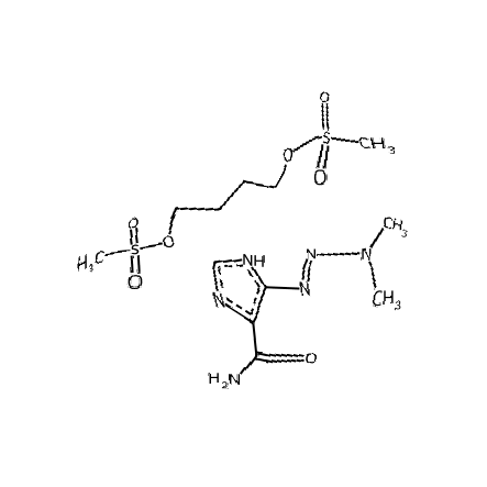 CN(C)/N=N/c1[nH]cnc1C(N)=O.CS(=O)(=O)OCCCCOS(C)(=O)=O